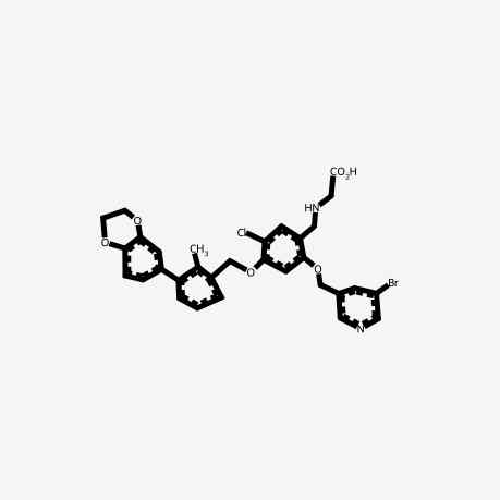 Cc1c(COc2cc(OCc3cncc(Br)c3)c(CNCC(=O)O)cc2Cl)cccc1-c1ccc2c(c1)OCCO2